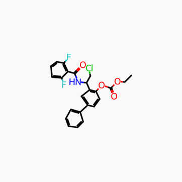 CCOC(=O)Oc1ccc(-c2ccccc2)cc1C(CCl)NC(=O)c1c(F)cccc1F